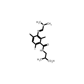 CC(CNC(=O)c1c(I)cc(I)c(N=CN(C)C)c1I)C(=O)O